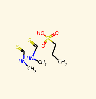 CCCS(=O)(=O)O.CNC=S.CNC=S